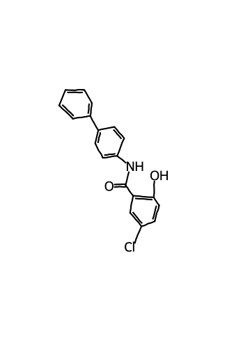 O=C(Nc1ccc(-c2ccccc2)cc1)c1cc(Cl)ccc1O